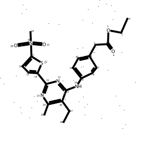 CCOC(=O)Cc1ccc(Nc2nc(-c3ccc(S(C)(=O)=O)s3)nc(C)c2CC)cc1